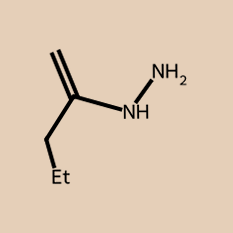 C=C(CCC)NN